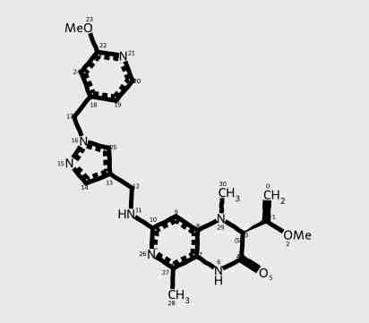 C=C(OC)[C@H]1C(=O)Nc2c(cc(NCc3cnn(Cc4ccnc(OC)c4)c3)nc2C)N1C